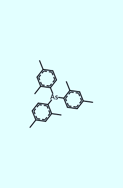 Cc1ccc([As](c2ccc(C)cc2C)c2ccc(C)cc2C)c(C)c1